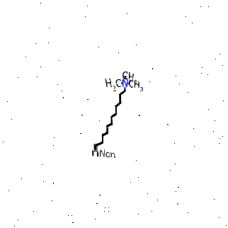 CCCCCCCCCCCCCCCCCCCCC[N+](C)(C)C